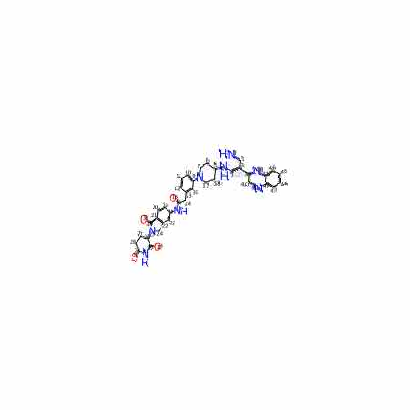 N=C/C(=C\NC1CCN(c2cccc(CC(=O)Nc3ccc4c(c3)CN(C3CCC(=O)NC3=O)C4=O)c2)CC1)c1cnc2ccccc2n1